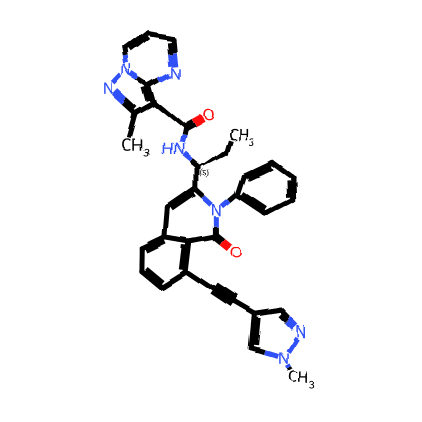 CC[C@H](NC(=O)c1c(C)nn2cccnc12)c1cc2cccc(C#Cc3cnn(C)c3)c2c(=O)n1-c1ccccc1